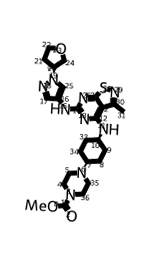 COC(=O)N1CCN([C@H]2CC[C@H](Nc3nc(Nc4cnn([C@@H]5CCOC5)c4)nc4snc(C)c34)CC2)CC1